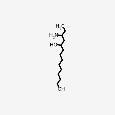 CCC(N)CC(O)CCCCCCCCO